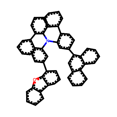 c1ccc(-c2ccccc2N(c2cccc(-c3cccc4c3oc3ccccc34)c2)c2cc(-c3cc4ccccc4c4ccccc34)ccc2-c2ccccc2)cc1